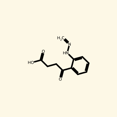 C=NNc1ccccc1C(=O)CCC(=O)O